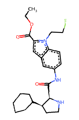 CCOC(=O)c1cc2cc(NC(=O)[C@H]3NCC[C@H]3C3CCCCC3)ccc2n1CCF